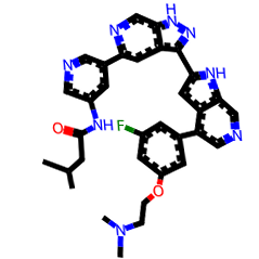 CC(C)CC(=O)Nc1cncc(-c2cc3c(-c4cc5c(-c6cc(F)cc(OCCN(C)C)c6)cncc5[nH]4)n[nH]c3cn2)c1